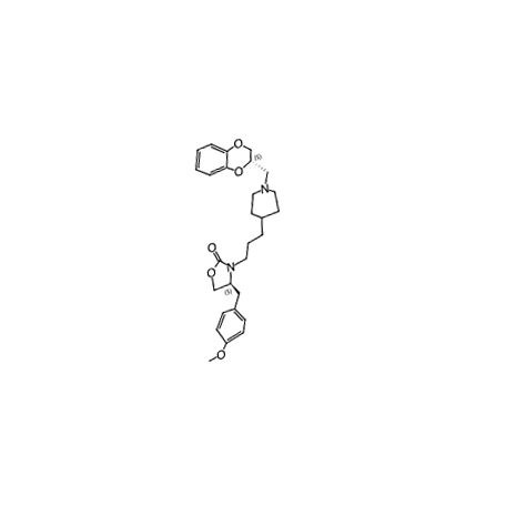 COc1ccc(C[C@H]2COC(=O)N2CCCC2CCN(C[C@H]3COc4ccccc4O3)CC2)cc1